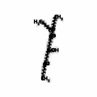 CCCCCCCCCOC(=O)CCCCCCCN(CCO)CCCCCCCCOC(=O)CCC(OCCCCCCCC)OCCCCCCCC